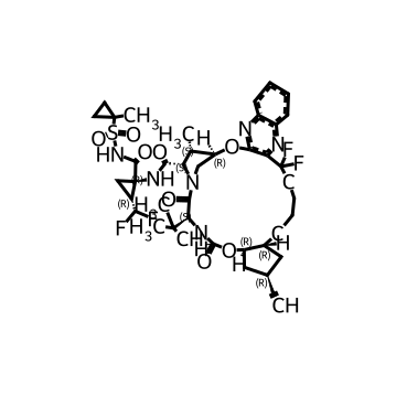 C#C[C@@H]1C[C@H]2CCCCC(F)(F)c3nc4ccccc4nc3O[C@H]3CN(C(=O)[C@H](C(C)(C)C)NC(=O)O[C@@H]2C1)[C@H](C(=O)N[C@]1(C(=O)NS(=O)(=O)C2(C)CC2)C[C@H]1C(F)F)[C@@H]3C